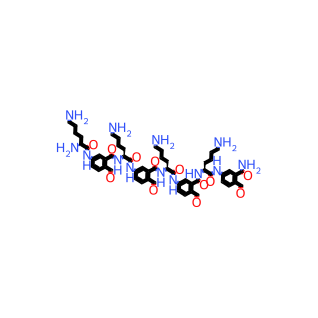 NCCCC[C@H](NC(=O)c1cc(NC(=O)[C@H](CCCCN)NC(=O)c2cc(NC(=O)[C@H](CCCCN)NC(=O)c3cc(NC(=O)[C@@H](N)CCCCN)ccc3C=O)ccc2C=O)ccc1C=O)C(=O)Nc1ccc(C=O)c(C(N)=O)c1